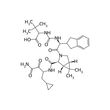 CC(C)(C)C(NC(=O)N[C@H](C(=O)N1C[C@H]2[C@@H]([C@H]1C(=O)NC(CC1CC1)C(=O)C(N)=O)C2(C)C)C1Cc2ccccc2C1)C(=O)O